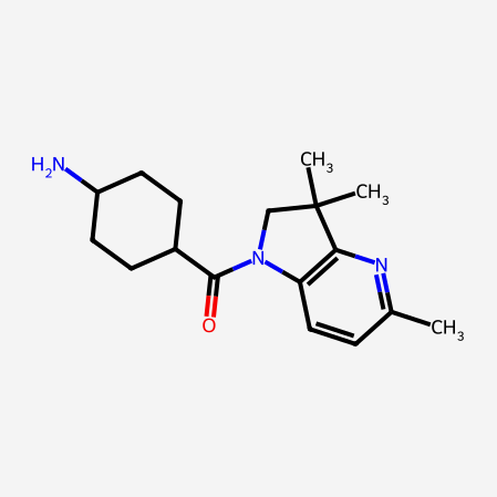 Cc1ccc2c(n1)C(C)(C)CN2C(=O)C1CCC(N)CC1